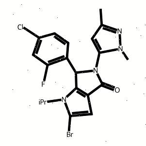 Cc1cc(N2C(=O)c3cc(Br)n(C(C)C)c3C2c2ccc(Cl)cc2F)n(C)n1